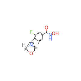 O=C(NO)c1cc(F)c2c(c1)C[C@]13CC[C@H](COC1)N3C2